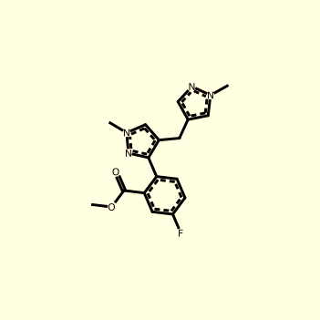 COC(=O)c1cc(F)ccc1-c1nn(C)cc1Cc1cnn(C)c1